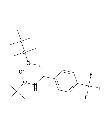 CC(C)(C)[S@+]([O-])N[C@H](CO[Si](C)(C)C(C)(C)C)c1ccc(C(F)(F)F)cc1